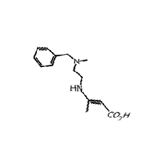 CC(=CC(=O)O)NCCN(C)Cc1ccccc1